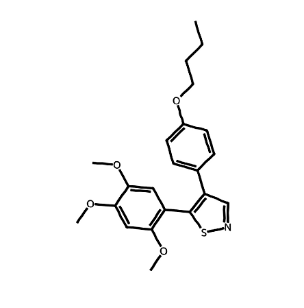 CCCCOc1ccc(-c2cnsc2-c2cc(OC)c(OC)cc2OC)cc1